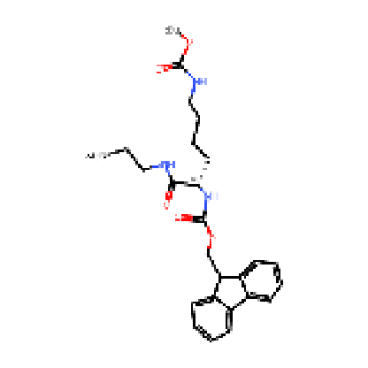 CNCCNC(=O)[C@H](CCCCNC(=O)OC(C)(C)C)NC(=O)OCC1c2ccccc2-c2ccccc21